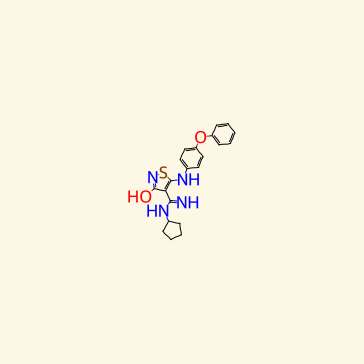 N=C(NC1CCCC1)c1c(O)nsc1Nc1ccc(Oc2ccccc2)cc1